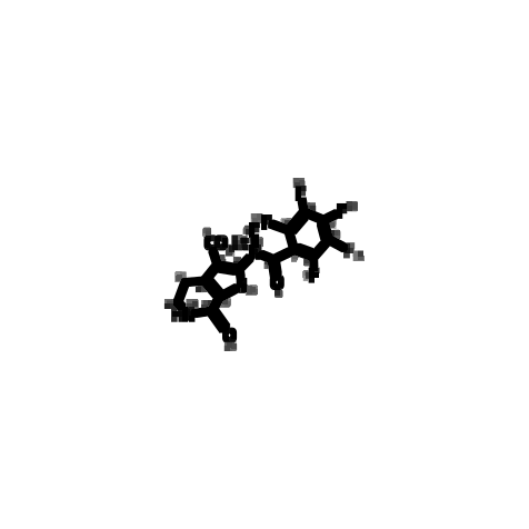 CCOC(=O)c1c(N(F)C(=O)c2c(F)c(F)c(F)c(F)c2F)sc2c1CCNC2=O